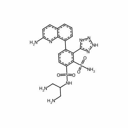 NCC(CN)NS(=O)(=O)c1ccc(-c2cccc3ccc(N)nc23)c(-c2nn[nH]n2)c1S(N)(=O)=O